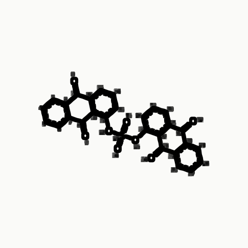 O=C1c2ccccc2C(=O)c2c(OS(=O)(=O)Oc3cccc4c3C(=O)c3ccccc3C4=O)cccc21